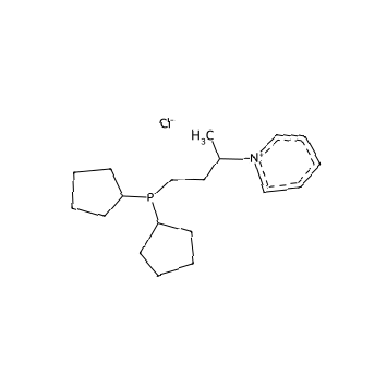 CC(CCP(C1CCCC1)C1CCCC1)[n+]1ccccc1.[Cl-]